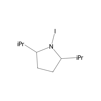 CC(C)C1CCC(C(C)C)N1I